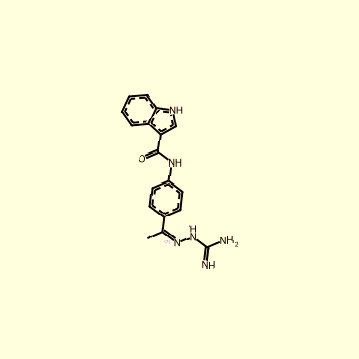 C/C(=N/NC(=N)N)c1ccc(NC(=O)c2c[nH]c3ccccc23)cc1